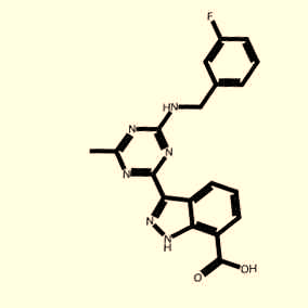 Cc1nc(NCc2cccc(F)c2)nc(-c2n[nH]c3c(C(=O)O)cccc23)n1